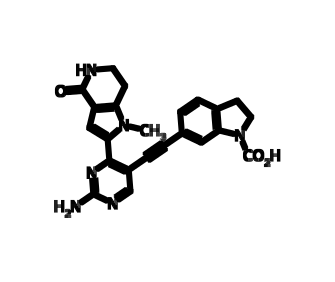 Cn1c(-c2nc(N)ncc2C#Cc2ccc3c(c2)N(C(=O)O)CC3)cc2c1CCNC2=O